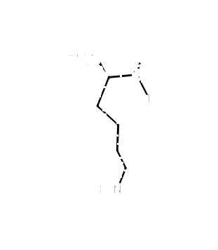 NCCCC[C@@H](C(=O)O)N(I)I